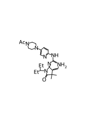 C=C(/N=C1\C(=C/N)C(C)(C)C(=O)N1C(CC)CC)Nc1ccc(N2CCN(C(C)=O)CC2)cn1